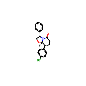 O=C1CCC(c2ccc(Br)cc2)[C@@H]2OC[C@H](c3ccccc3)N12